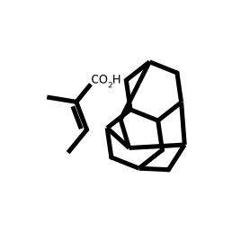 C1C2CC3C4CC5CC(C14)C(C2)C3C5.CC=C(C)C(=O)O